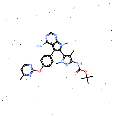 Cc1ccnc(Oc2ccc(-c3c(-c4c(C)c(NC(=O)OC(C)(C)C)nn4C)n(C)c4ncnc(N)c34)cc2)n1